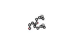 c1ccc(-c2cccc(-c3cccc(N(c4cccc(-c5cccc(-c6ccc7oc8ccccc8c7c6)c5)c4)c4cccc(-c5cccc(-c6ccc7oc8ccccc8c7c6)c5)c4)c3)c2)cc1